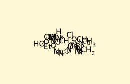 CCc1cc(-c2nnc(C(=O)NC3(C)CC3)n2-c2ccc(CN3CCN(CC4CCN(C(=O)C[C@@H]5N=C(c6ccc(Cl)cc6)c6c(sc(C)c6C)-n6c(C)nnc65)CC4)CC3)cc2)c(O)cc1O